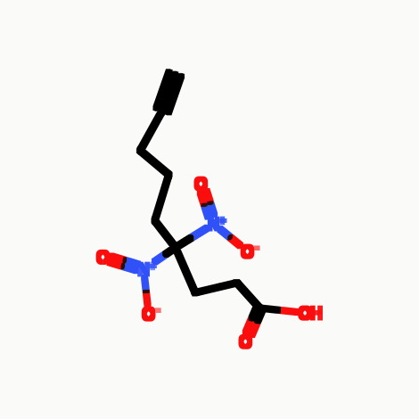 C#CCCCC(CCC(=O)O)([N+](=O)[O-])[N+](=O)[O-]